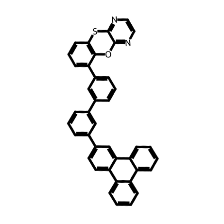 c1cc(-c2cccc(-c3cccc4c3Oc3nccnc3S4)c2)cc(-c2ccc3c4ccccc4c4ccccc4c3c2)c1